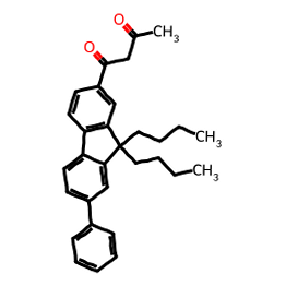 CCCCC1(CCCC)c2cc(C(=O)CC(C)=O)ccc2-c2ccc(-c3ccccc3)cc21